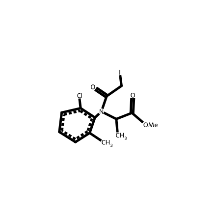 COC(=O)C(C)N(C(=O)CI)c1c(C)cccc1Cl